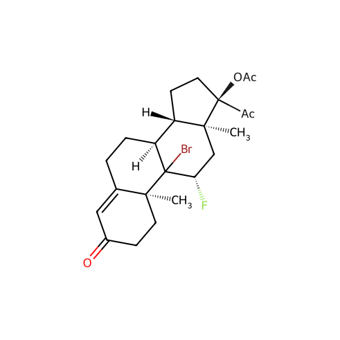 CC(=O)O[C@]1(C(C)=O)CC[C@H]2[C@@H]3CCC4=CC(=O)CC[C@]4(C)C3(Br)[C@@H](F)C[C@@]21C